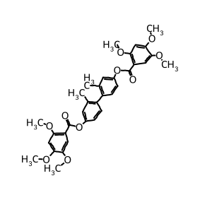 COc1cc(OC)c(C(=O)Oc2ccc(-c3ccc(OC(=O)c4cc(OC)c(OC)cc4OC)cc3C)c(C)c2)cc1OC